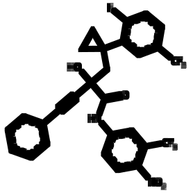 O=C(Nc1ccc([N+](=O)[O-])c(C(F)(F)F)c1)C(O)(C#Cc1ccccc1)CC1(c2cc(C(F)(F)F)ccc2F)CC1